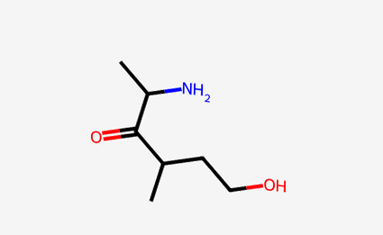 CC(N)C(=O)C(C)CCO